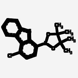 CC1(C)OB(c2ccc(Cl)c3c2sc2ccccc23)OC1(C)C